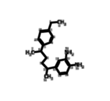 CCc1ccc(C(C)CCC(C)c2ccc(N)c(N)c2)cc1